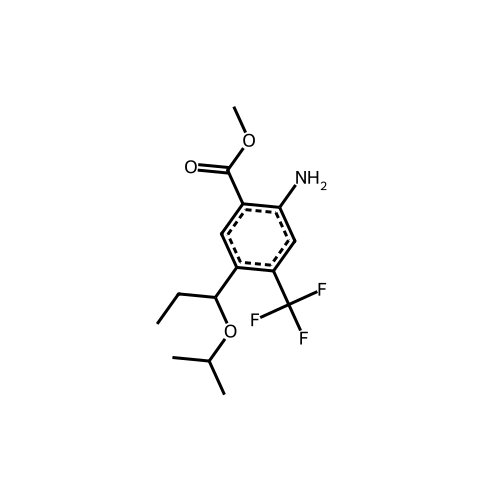 CCC(OC(C)C)c1cc(C(=O)OC)c(N)cc1C(F)(F)F